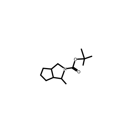 CC1C2CCCC2CN1C(=O)OC(C)(C)C